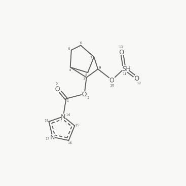 O=C(OC1C2CCC(C2)C1O[SH](=O)=O)n1ccnc1